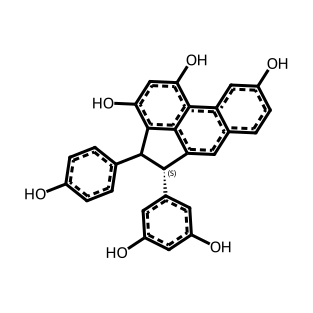 Oc1ccc(C2c3c(O)cc(O)c4c3c(cc3ccc(O)cc34)[C@@H]2c2cc(O)cc(O)c2)cc1